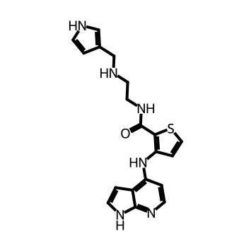 O=C(NCCNCc1cc[nH]c1)c1sccc1Nc1ccnc2[nH]ccc12